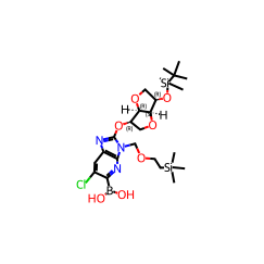 CC(C)(C)[Si](C)(C)O[C@@H]1CO[C@H]2[C@@H]1OC[C@H]2Oc1nc2cc(Cl)c(B(O)O)nc2n1COCC[Si](C)(C)C